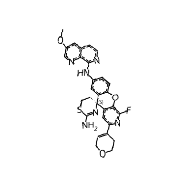 COc1cnc2c(Nc3ccc4c(c3)[C@@]3(CCSC(N)=N3)c3cc(C5=CCOCC5)nc(F)c3O4)nccc2c1